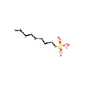 C[CH]CCCCCCCS(=O)(=O)O